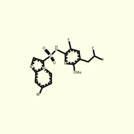 COc1nc(NS(=O)(=O)c2cnc3cc(Br)ccn23)c(F)cc1CC(F)F